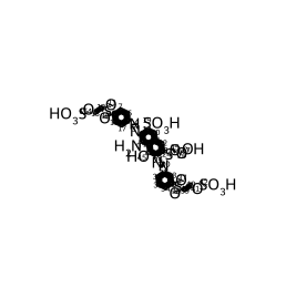 Nc1c(/N=N/c2ccc(S(=O)(=O)CCOS(=O)(=O)O)cc2)c(S(=O)(=O)O)cc2cc(SOOO)c(/N=N/c3cccc(S(=O)(=O)CCOS(=O)(=O)O)c3)c(O)c12